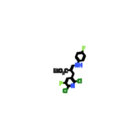 CCOC(=O)C(=CNc1ccc(F)cc1)Cc1cc(F)c(Cl)nc1Cl